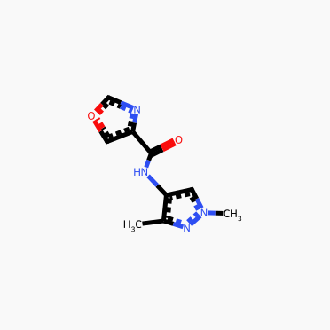 Cc1nn(C)cc1NC(=O)c1cocn1